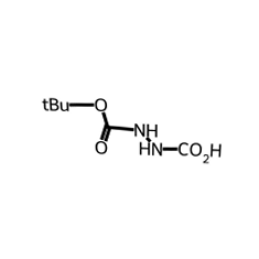 CC(C)(C)OC(=O)NNC(=O)O